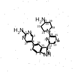 Nc1ncc(-c2ccc3[nH]nc(-c4cncc(N5CCC(N)CC5)n4)c3c2)cn1